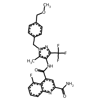 COCc1ccc(Cn2nc(C(F)(F)F)c(NC(=O)c3cc(C(N)=O)nc4cccc(F)c34)c2C)cc1